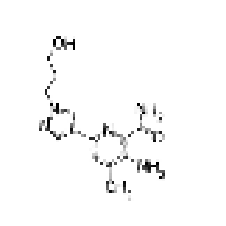 Cc1cc(-c2cnn(CCCO)c2)nc(C(N)=O)c1N